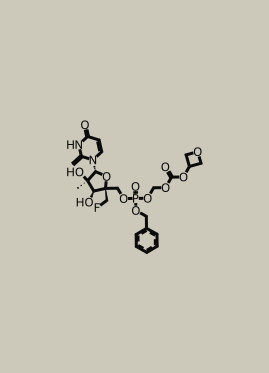 C=C1NC(=O)C=CN1[C@@H]1O[C@](CF)(COP(=O)(OCOC(=O)OC2COC2)OCc2ccccc2)[C@@H](O)[C@@]1(C)O